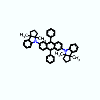 CC12CCCC1(C)N(c1ccc3c(-c4ccccc4)c4cc(N5c6ccccc6C6(C)CCCC56C)ccc4c(-c4ccccc4)c3c1)c1ccccc12